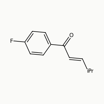 CC(C)/C=C/C(=O)c1ccc(F)cc1